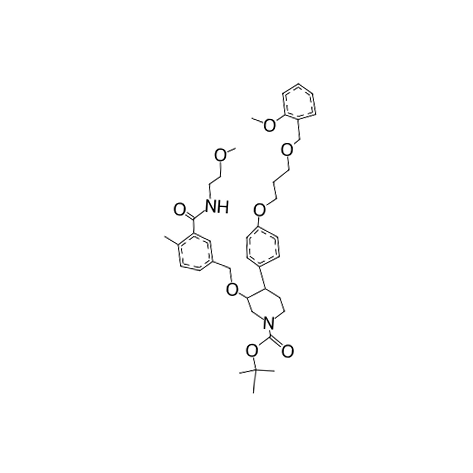 COCCNC(=O)c1cc(COC2CN(C(=O)OC(C)(C)C)CCC2c2ccc(OCCCOCc3ccccc3OC)cc2)ccc1C